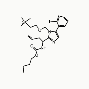 C=CCC(NC(=O)OCCCC)c1ncc(-c2ccccc2F)n1COCC[Si](C)(C)C